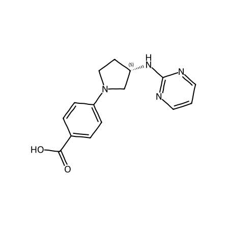 O=C(O)c1ccc(N2CC[C@H](Nc3ncccn3)C2)cc1